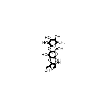 CC1OC(O[C@@H]2[C@@H](O)[C@@H](OC3C(O)C=NC3CO)[C@@H](O)O[C@@H]2CO)C(O)C(O)C1O